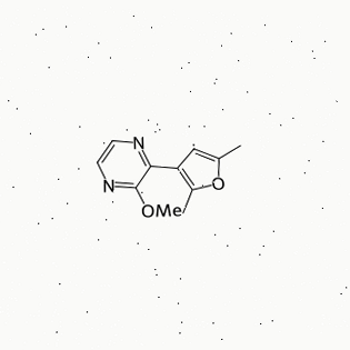 COc1nccnc1-c1[c]c(C)oc1C